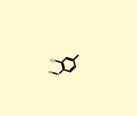 Cc1ccc(SS)c([N+](=O)[O-])c1